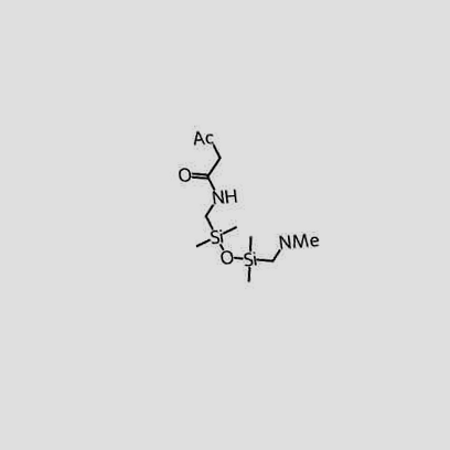 CNC[Si](C)(C)O[Si](C)(C)CNC(=O)CC(C)=O